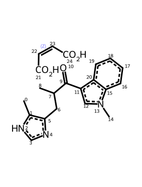 Cc1[nH]cnc1CC(C)C(=O)c1cn(C)c2ccccc12.O=C(O)/C=C\C(=O)O